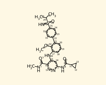 CNC(=O)c1nnc(NC(=O)C2CC2)cc1Nc1cccc(-c2ccc(S(=N)(=O)C(C)C)cc2)c1OC